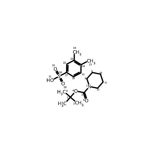 CC(C)(C)OC(=O)N1CCCCC1.Cc1ccc(S(=O)(=O)O)cc1C